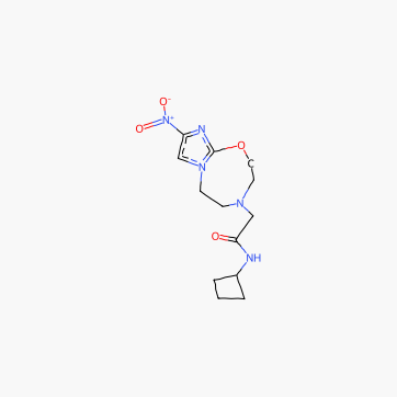 O=C(CN1CCOc2nc([N+](=O)[O-])cn2CC1)NC1CCC1